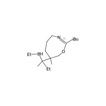 CCBC(C)(CC)C1(C)CCC/N=C(/C(C)CC)OC1